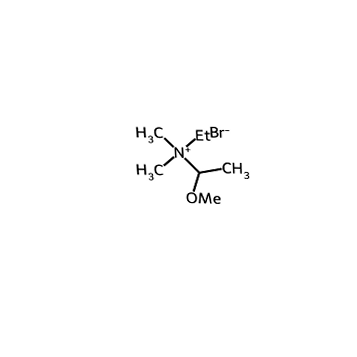 CC[N+](C)(C)C(C)OC.[Br-]